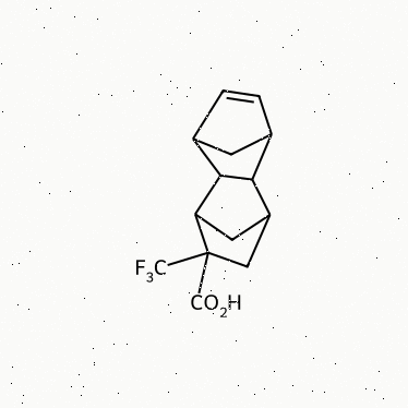 O=C(O)C1(C(F)(F)F)CC2CC1C1C3C=CC(C3)C21